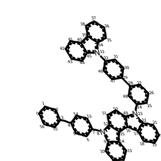 c1ccc(-c2ccc(-n3c4ccccc4c4c5c6ccccc6n(-c6cccc(-c7ccc(-n8c9ccccc9c9ccccc98)cc7)c6)c5ccc43)cc2)cc1